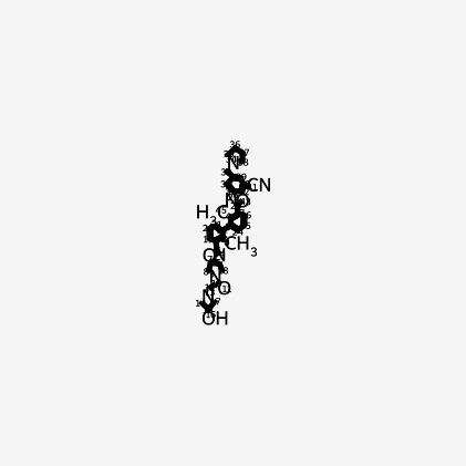 Cc1c(-c2nc3c(o2)CN(C(=O)CN2CC(O)C2)C3)cccc1-c1cccc(-c2nc3cc(CN4CCCC4)cc(C#N)c3o2)c1C